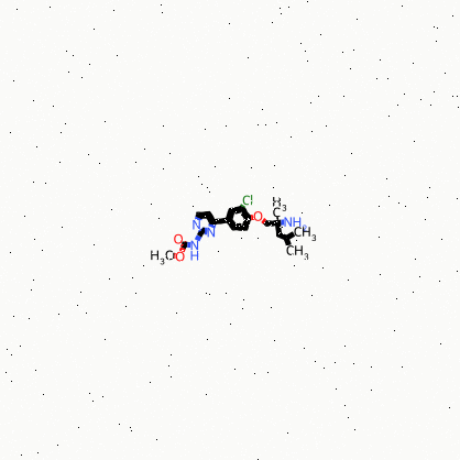 COC(=O)Nc1nccc(-c2ccc(OC[C@@](C)(N)CC(C)C)c(Cl)c2)n1